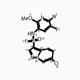 COc1nc(Br)c(F)cc1NS(=O)(=O)c1cnn2cc(Cl)ccc12